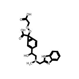 CN(Cc1nc2ccccc2[nH]1)CC(O)c1ccc2c(c1)C2(OOCC(=O)O)C(=O)O